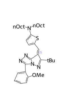 CCCCCCCCN(CCCCCCCC)c1ccc(/C=c2/c(C(C)(C)C)nn3c(-c4ccccc4OC)nnc23)s1